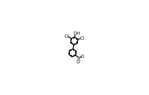 O=[N+]([O-])c1cccc(-c2cc(Cl)c(O)c(Cl)c2)c1